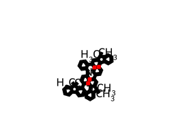 CC1(C)c2ccccc2-c2ccc(-c3ccccc3N(c3ccc(-c4cccc5c4C(C)(C)c4ccccc4-5)cc3)c3ccccc3-c3ccc4c(c3)C(C)(C)c3ccccc3-4)cc21